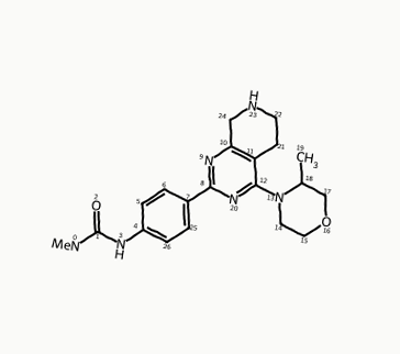 CNC(=O)Nc1ccc(-c2nc3c(c(N4CCOCC4C)n2)CCNC3)cc1